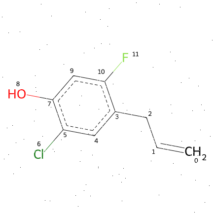 C=CCc1cc(Cl)c(O)cc1F